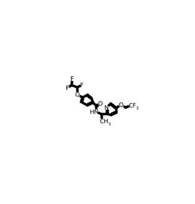 CC(NC(=O)c1ccc(OC(F)C(F)F)cc1)c1ccc(OCC(F)(F)F)cn1